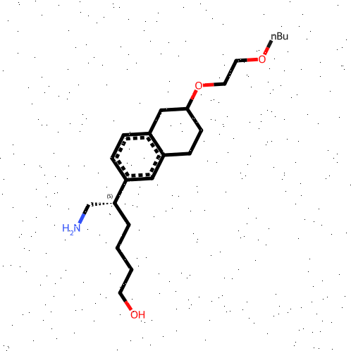 CCCCOCCOC1CCc2cc([C@@H](CN)CCCCO)ccc2C1